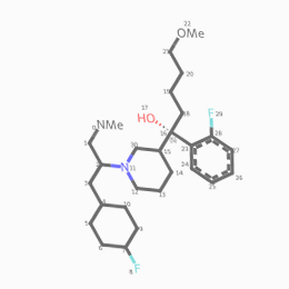 CNCC(CC1CCC(F)CC1)N1CCCC([C@@](O)(CCCCOC)c2ccccc2F)C1